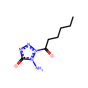 CCCCCC(=O)n1nnc(=O)n1N